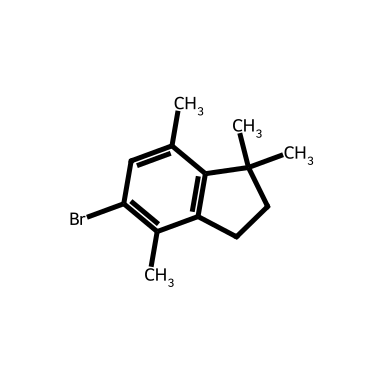 Cc1cc(Br)c(C)c2c1C(C)(C)CC2